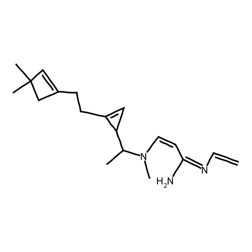 C=C/N=C(N)\C=C/N(C)C(C)C1C=C1CCC1=CC(C)(C)C1